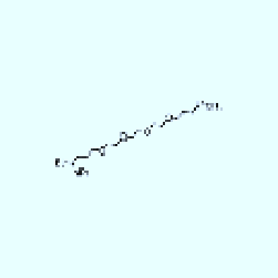 CCCC(C)CCCOCCOCCOCCOCCCC(CC)CCC